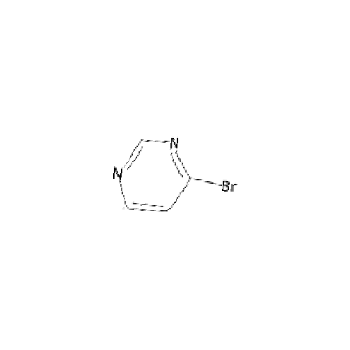 Brc1c[c]ncn1